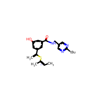 C=C(S/C(C)=C\C)c1cc(O)cc(C(=O)NCc2cnc(C(C)(C)C)nc2)c1